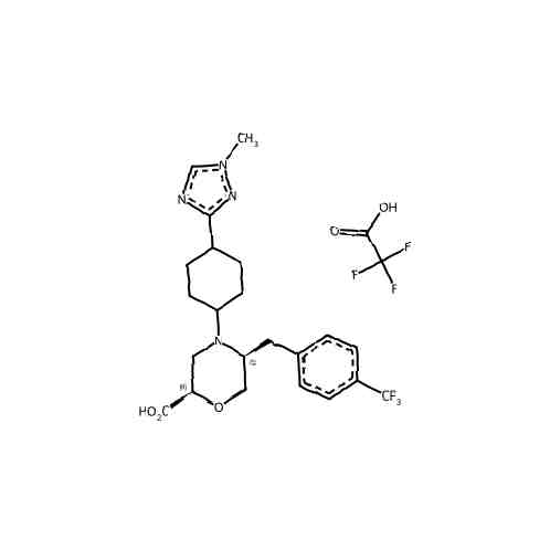 Cn1cnc(C2CCC(N3C[C@H](C(=O)O)OC[C@@H]3Cc3ccc(C(F)(F)F)cc3)CC2)n1.O=C(O)C(F)(F)F